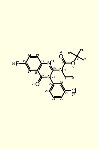 CCN(C(=O)OC(C)(C)C)c1nc2ccc(F)cc2c(=O)n1-c1cccc(Cl)c1